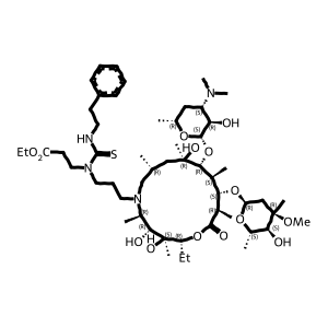 CCOC(=O)CCN(CCCN1C[C@H](C)C[C@@](C)(O)[C@H](O[C@@H]2O[C@H](C)C[C@H](N(C)C)[C@H]2O)[C@@H](C)[C@H](O[C@H]2C[C@@](C)(OC)[C@@H](O)[C@H](C)O2)[C@@H](C)C(=O)O[C@H](CC)[C@@](C)(O)[C@H](O)[C@H]1C)C(=S)NCCc1ccccc1